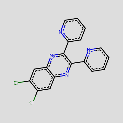 Clc1cc2nc(-c3ccccn3)c(-c3ccccn3)nc2cc1Cl